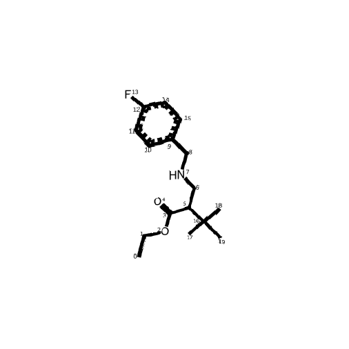 CCOC(=O)C(CNCc1ccc(F)cc1)C(C)(C)C